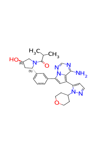 CC(C)C(=O)N1C[C@H](O)C[C@H]1c1cccc(-c2cc(-c3ccnn3C3CCOCC3)c3c(N)ncnn23)c1